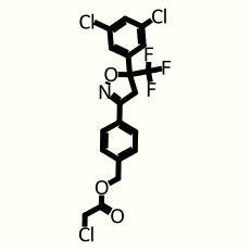 O=C(CCl)OCc1ccc(C2=NOC(c3cc(Cl)cc(Cl)c3)(C(F)(F)F)C2)cc1